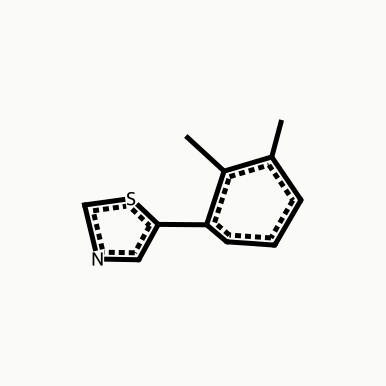 Cc1cccc(-c2cncs2)c1C